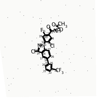 CS(=O)(=O)NC(=O)c1cc(Cl)c(-n2nc(Cl)c3cc(-c4cccc(C(F)(F)F)c4)ccc32)cc1F